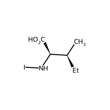 CC[C@H](C)[C@@H](NI)C(=O)O